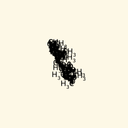 COc1cc2c(cc1OC)C(c1cc(OC)c(OC)c(OC)c1)[N+](C)(CCCOC(=O)/C=C/C(=O)OCCC[N+]1(C)CCc3cc(OC)c(OC)c(OC)c3C1Cc1cc(OC)c(OC)c(OC)c1)CC2